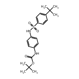 CC(C)(C)OC(=O)Nc1ccc(NS(=O)(=O)c2ccc(C(C)(C)C)cc2)cc1